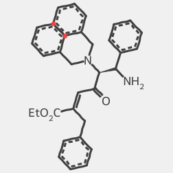 CCOC(=O)C(=CC(=O)[C@H](C(N)c1ccccc1)N(Cc1ccccc1)Cc1ccccc1)Cc1ccccc1